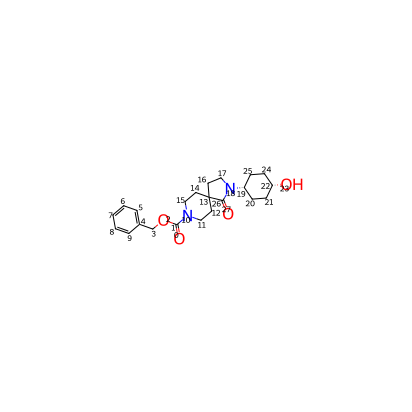 O=C(OCc1ccccc1)N1CCC2(CC1)CCN([C@H]1CC[C@@H](O)CC1)C2=O